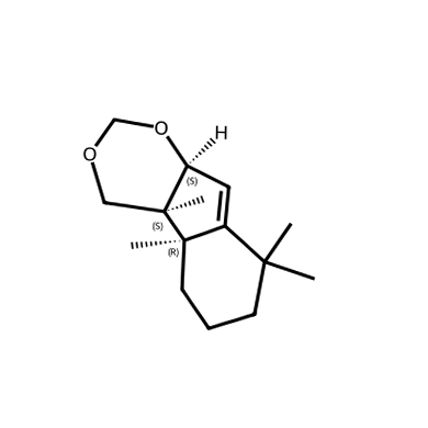 CC1(C)CCC[C@]2(C)C1=C[C@@H]1OCOC[C@@]12C